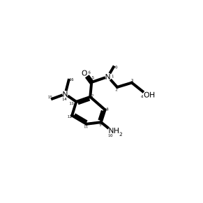 CN(CCO)C(=O)c1cc(N)ccc1N(C)C